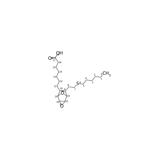 CCCCCCSCCC1C(CCCCCCC(=O)O)C2OC1C1OC21